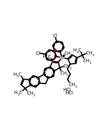 Cl.Cl.[CH2]=[Zr]([C]1=CC(C(C)(C)C)=CC1CCCC)([C]1=C(C)c2cc3c(cc2C1(C)C)Cc1cc2c(cc1-3)C(C)=CC2(C)C)([c]1ccc(Cl)cc1)[c]1ccc(Cl)cc1